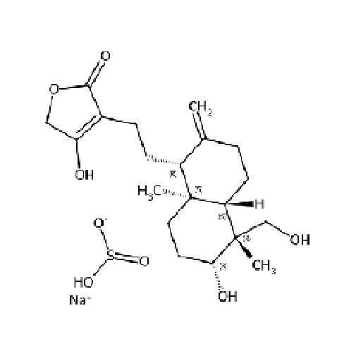 C=C1CC[C@@H]2[C@](C)(CO)[C@H](O)CC[C@@]2(C)[C@@H]1CCC1=C(O)COC1=O.O=S([O-])O.[Na+]